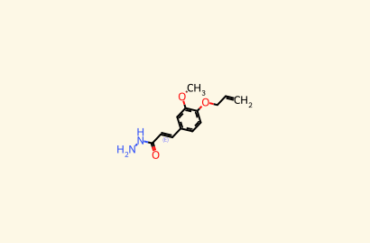 C=CCOc1ccc(/C=C/C(=O)NN)cc1OC